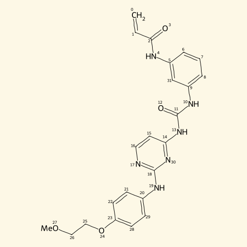 C=CC(=O)Nc1cccc(NC(=O)Nc2ccnc(Nc3ccc(OCCOC)cc3)n2)c1